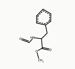 COC(=O)C(Cc1ccccc1)NC=O